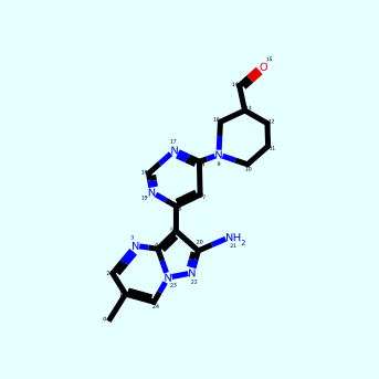 Cc1cnc2c(-c3cc(N4CCCC(C=O)C4)ncn3)c(N)nn2c1